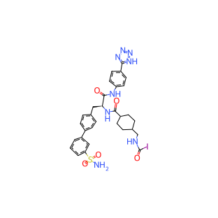 NS(=O)(=O)c1cccc(-c2ccc(C[C@H](NC(=O)C3CCC(CNC(=O)I)CC3)C(=O)Nc3ccc(-c4nnn[nH]4)cc3)cc2)c1